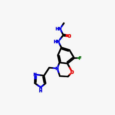 CNC(=O)Nc1cc(F)c2c(c1)N(Cc1c[nH]cn1)CCO2